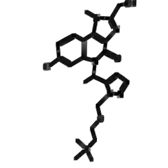 CC(c1ccnn1COCC[Si](C)(C)C)n1c(=O)c2nc(CO)n(C)c2c2ccc(Cl)cc21